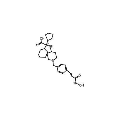 O=C(C=Cc1ccc(CN2CCC(N[C@](C(=O)O)(C3CCCCC3)C3CCCC3)CC2)cc1)NO